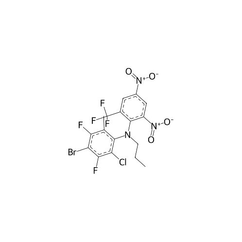 CCCN(c1c([N+](=O)[O-])cc([N+](=O)[O-])cc1C(F)(F)F)c1c(C)c(F)c(Br)c(F)c1Cl